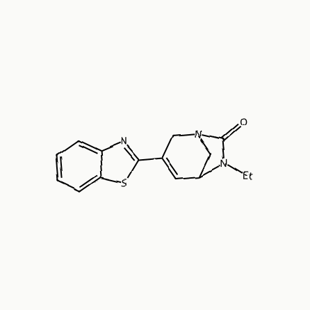 CCN1C(=O)N2CC(c3nc4ccccc4s3)=CC1C2